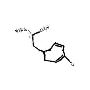 CC(=O)N[C@@H](CC1C=CC(Cl)=CC1)C(=O)O